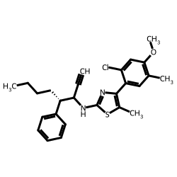 C#CC(Nc1nc(-c2cc(C)c(OC)cc2Cl)c(C)s1)[C@@H](CCCC)c1ccccc1